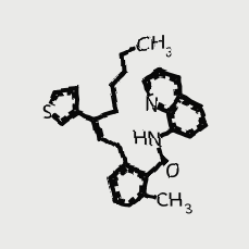 CCCCCC(=CCc1cccc(C)c1C(=O)Nc1cccc2cccnc12)c1ccsc1